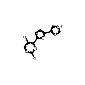 Clc1ncc(Cl)c(-c2ccc(-c3c[nH]cn3)o2)n1